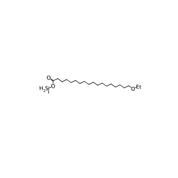 CCOCCCCCCCCCCCCCCCCCC(=O)O[SiH2]C